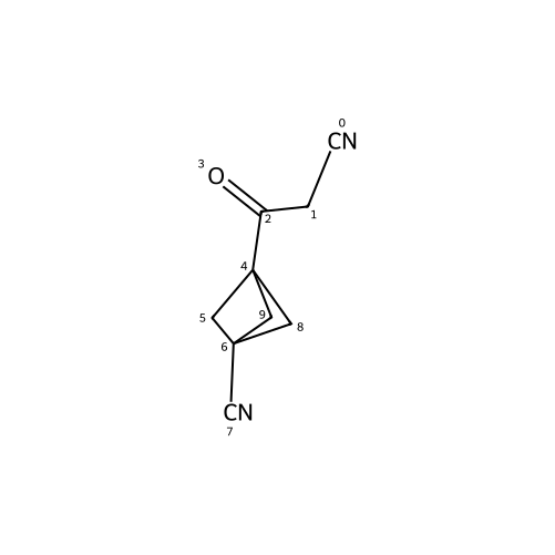 N#CCC(=O)C12CC(C#N)(C1)C2